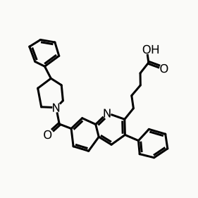 O=C(O)CCCCc1nc2cc(C(=O)N3CCC(c4ccccc4)CC3)ccc2cc1-c1ccccc1